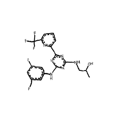 CC(O)CNc1nc(Nc2cc(F)cc(F)c2)nc(-c2cccc(C(F)(F)F)n2)n1